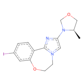 C[C@@H]1COCN1c1cn2c(n1)-c1ccc(I)cc1OCC2